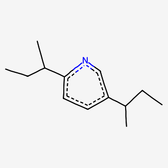 CCC(C)c1ccc(C(C)CC)nc1